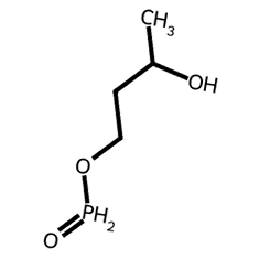 CC(O)CCO[PH2]=O